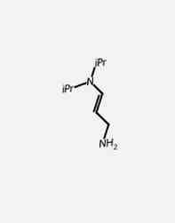 CC(C)N(C=CCN)C(C)C